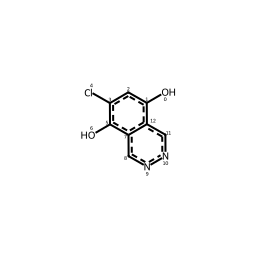 Oc1cc(Cl)c(O)c2cnncc12